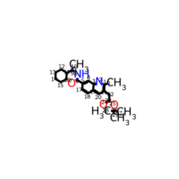 Cc1nc2cc(C(=O)N[C@@H](C)C3CCCCC3)ccc2cc1CC(=O)OC(C)(C)C